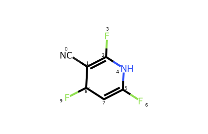 N#CC1=C(F)NC(F)=C[C]1F